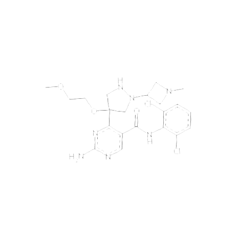 COCCOC1(c2nc(N)ncc2C(=O)Nc2c(Cl)cccc2Cl)CNN(C2CN(C)C2)C1